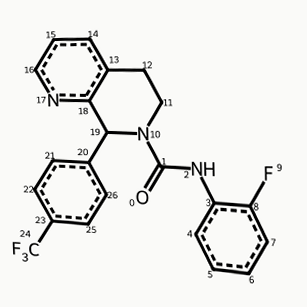 O=C(Nc1ccccc1F)N1CCc2cccnc2C1c1ccc(C(F)(F)F)cc1